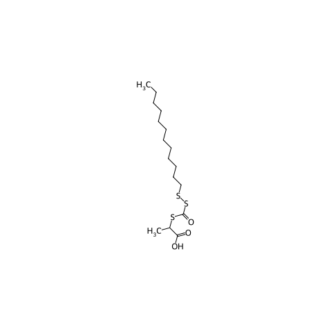 CCCCCCCCCCCCSSC(=O)SC(C)C(=O)O